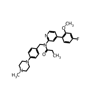 CCC(=O)N(Cc1ccc(N2CCN(C)CC2)cc1)c1cc(-c2ccc(F)cc2OC)ccn1